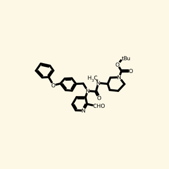 CN(C(=O)N(Cc1ccc(Oc2ccccc2)cc1)c1cccnc1C=O)C1CCCN(C(=O)OC(C)(C)C)C1